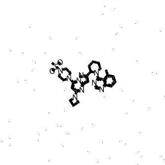 Cc1cccc2ncnc(N3CCCCC3c3cc4nc(N5CCC5)cc(N5CCN(S(C)(=O)=O)CC5)n4n3)c12